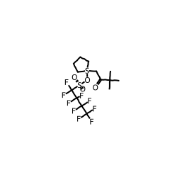 CC(C)(C)C(=O)CS1(OS(=O)(=O)C(F)(F)C(F)(F)C(F)(F)C(F)(F)F)CCCC1